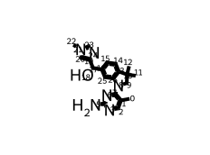 Cc1cnc(N)nc1N1CC(C)(C)c2ccc([C@@H](O)c3cn(C)cn3)cc21